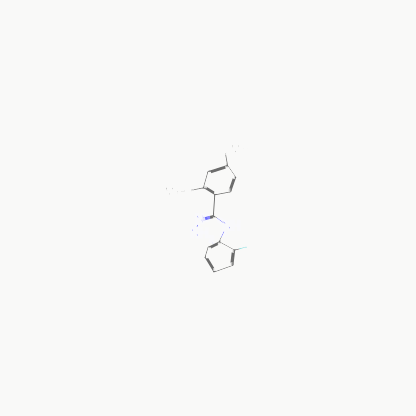 COc1ccc(C(=NN)Nc2ccccc2F)c(OC)c1